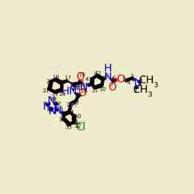 CN(C)CCOC(=O)Nc1ccc(NC(=O)[C@H](Cc2ccccc2)NC(=O)/C=C/c2cc(Cl)ccc2-n2cnnn2)cc1